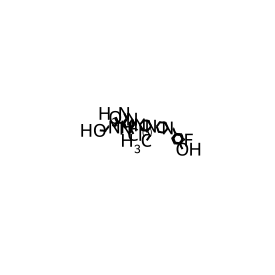 CC[C@H]1CN(c2nc(N)c(C(=O)NCCO)nc2Cl)CCN1C1CCN(Cc2ccc(O)c(F)c2)CC1